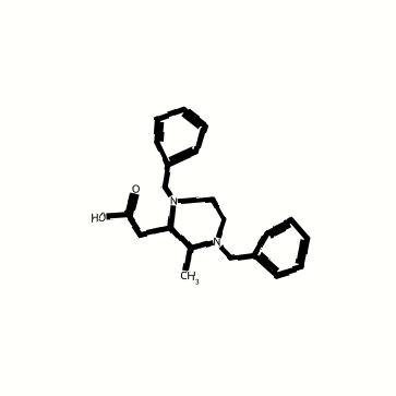 CC1C(CC(=O)O)N(Cc2ccccc2)CCN1Cc1ccccc1